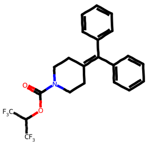 O=C(OC(C(F)(F)F)C(F)(F)F)N1CCC(=C(c2ccccc2)c2ccccc2)CC1